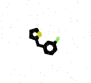 Fc1cccc(Cc2cccs2)c1